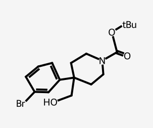 CC(C)(C)OC(=O)N1CCC(CO)(c2cccc(Br)c2)CC1